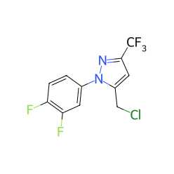 Fc1ccc(-n2nc(C(F)(F)F)cc2CCl)cc1F